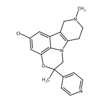 CN1CCc2c(c3cc(Cl)cc4c3n2CC(C)(c2ccncc2)O4)C1